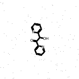 O=C(c1ccccn1)C(O)c1ccccn1